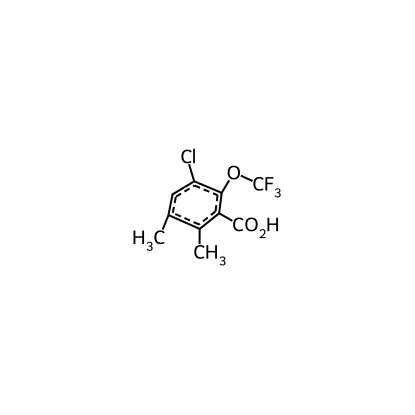 Cc1cc(Cl)c(OC(F)(F)F)c(C(=O)O)c1C